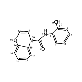 Cc1ccccc1NC(=O)N1C=COc2ccccc21